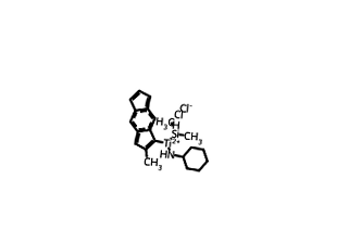 CC1=[C]([Ti+2]([NH]C2CCCCC2)[SiH](C)C)c2cc3c(cc2=C1)C=CC=3.[Cl-].[Cl-]